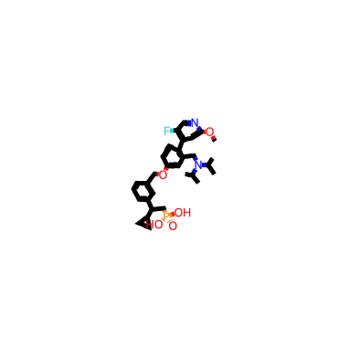 COc1cc(-c2ccc(OCc3cccc(C(CP(=O)(O)O)C4CC4)c3)cc2CN(C(C)C)C(C)C)c(F)cn1